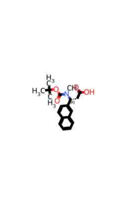 CN(C(=O)OC(C)(C)C)[C@H](CC(=O)O)c1ccc2ccccc2c1